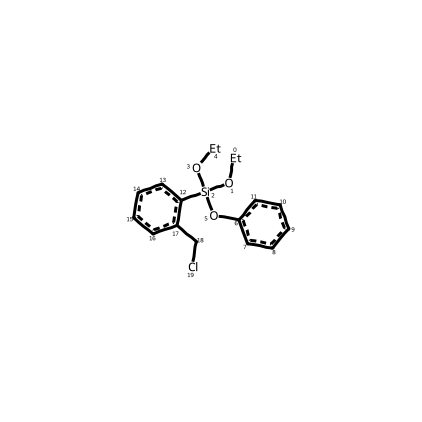 CCO[Si](OCC)(Oc1ccccc1)c1ccccc1CCl